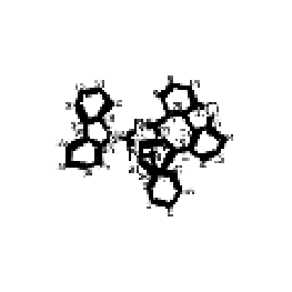 c1ccc(-c2nc(-c3cccc4oc5cccc(-c6ccccc6)c5c34)nc(-n3c4ccccc4c4ccccc43)n2)cc1